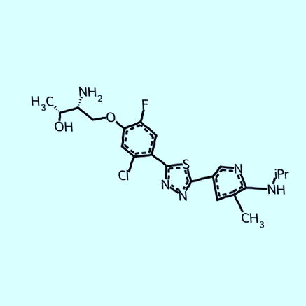 Cc1cc(-c2nnc(-c3cc(F)c(OC[C@@H](N)[C@@H](C)O)cc3Cl)s2)cnc1NC(C)C